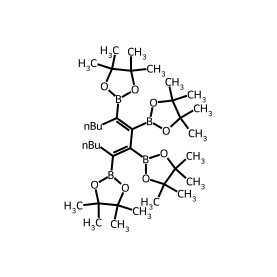 CCCC/C(B1OC(C)(C)C(C)(C)O1)=C(B1OC(C)(C)C(C)(C)O1)\C(B1OC(C)(C)C(C)(C)O1)=C(/CCCC)B1OC(C)(C)C(C)(C)O1